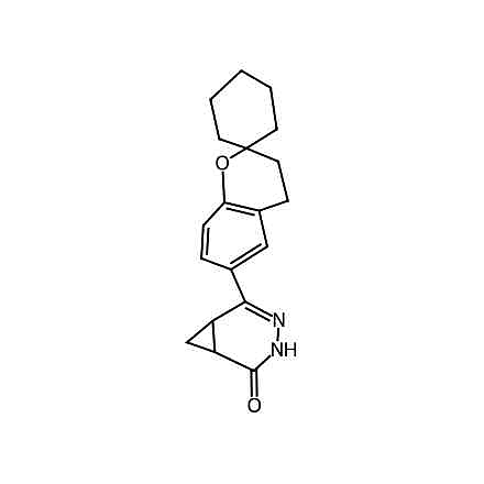 O=C1NN=C(c2ccc3c(c2)CCC2(CCCCC2)O3)C2CC12